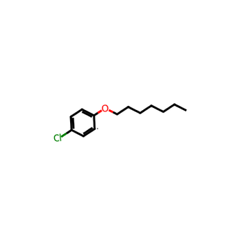 CCCCCCCOc1[c]cc(Cl)cc1